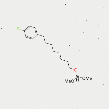 CO[SiH](OC)OCCCCCCCCc1ccc(F)cc1